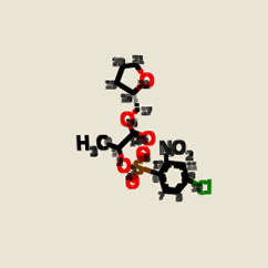 CC(OS(=O)(=O)c1ccc(Cl)cc1[N+](=O)[O-])C(=O)OC[C@@H]1CCCO1